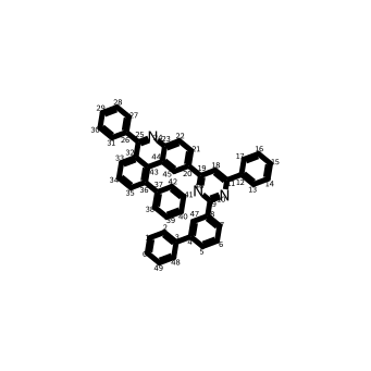 c1ccc(-c2cccc(-c3nc(-c4ccccc4)cc(-c4ccc5nc(-c6ccccc6)c6cccc(-c7ccccc7)c6c5c4)n3)c2)cc1